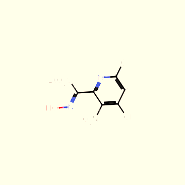 CCOC(=O)C(=NO)c1nc(C)cc(C)c1[N+](=O)[O-]